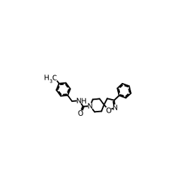 Cc1ccc(CNC(=O)N2CCC3(CC2)CC(c2ccccc2)=NO3)cc1